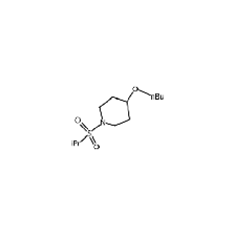 CCCCOC1CCN(S(=O)(=O)C(C)C)CC1